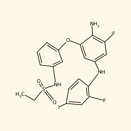 CCS(=O)(=O)Nc1cccc(Oc2cc(Nc3ccc(I)cc3F)cc(F)c2N)c1